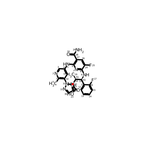 Cc1ncc(Nc2nc(N[C@@H](c3ccccc3F)[C@H](C)NC(=O)O)c(F)cc2C(N)=O)cc1-n1nccn1